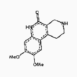 COc1cc2[nH]c(=O)c3c(c2cc1OC)CCNC3